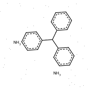 N.N.c1ccc(C(c2ccccc2)c2ccccc2)cc1